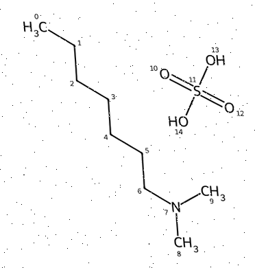 CCCCCCCN(C)C.O=S(=O)(O)O